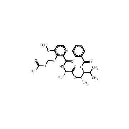 COc1ccnc(C(=O)N[C@@H](C)C(=O)O[C@@H](C)[C@@H](OC(=O)c2ccccc2)C(C)C)c1OCOC(C)=O